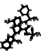 Cc1c(-c2cc(C(=O)NS(C)(=O)=O)c3c(O[C@H](C)C4CCOCC4)ccc(C)c3n2)oc2ccccc12